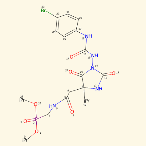 CC(C)OP(=O)(CNC(=O)CC1(C(C)C)NC(=O)N(NC(=O)Nc2ccc(Br)cc2)C1=O)OC(C)C